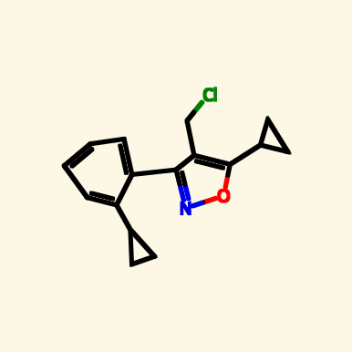 ClCc1c(-c2ccccc2C2CC2)noc1C1CC1